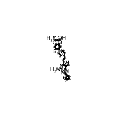 C[C@@H](Oc1ccc(N2CCN(CCn3ncc4c3nc(N)n3nc(-c5ccco5)nc43)CC2)c(F)c1)C(=O)O